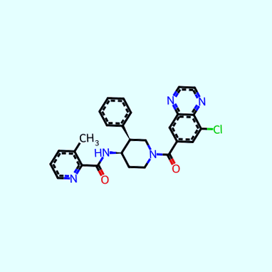 Cc1cccnc1C(=O)N[C@@H]1CCN(C(=O)c2cc(Cl)c3nccnc3c2)C[C@@H]1c1ccccc1